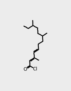 CCC(C)CCC(C)CC/C=C/C(C)=C/C(=O)Cl